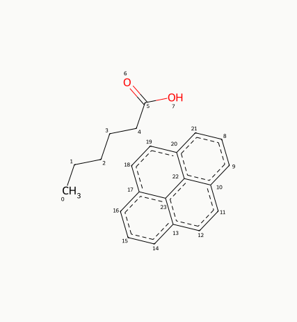 CCCCCC(=O)O.c1cc2ccc3cccc4ccc(c1)c2c34